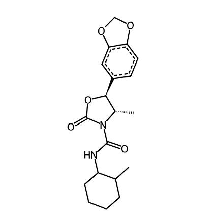 CC1CCCCC1NC(=O)N1C(=O)O[C@@H](c2ccc3c(c2)OCO3)[C@@H]1C